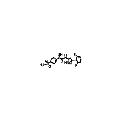 NS(=O)(=O)c1ccc(N(S)C(=O)Nc2cc(-c3c(F)cccc3F)n[nH]2)cc1